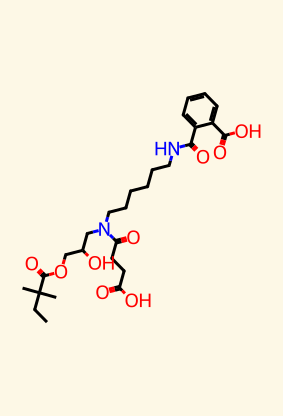 CCC(C)(C)C(=O)OCC(O)CN(CCCCCCNC(=O)c1ccccc1C(=O)O)C(=O)CCC(=O)O